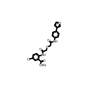 COC(=O)c1cc(Cl)ccc1NC(=O)COCC(=O)Nc1ccc(-c2ccoc2)cc1